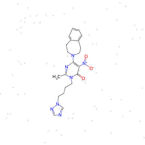 Cc1nc(N2CCc3ccccc3CC2)c([N+](=O)[O-])c(=O)n1CCCCn1cncn1